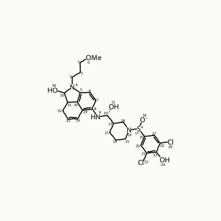 COCCCN1c2ccc(N[C@H](O)C3CCCN([S+]([O-])c4cc(Cl)c(O)c(Cl)c4)C3)c3c2C(CC=C3)C1O